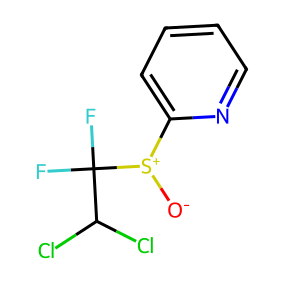 [O-][S+](c1ccccn1)C(F)(F)C(Cl)Cl